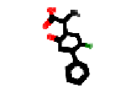 CC(C(=O)O)C1CC(F)C(c2ccccc2)=CC1=O